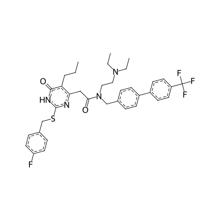 CCCc1c(CC(=O)N(CCN(CC)CC)Cc2ccc(-c3ccc(C(F)(F)F)cc3)cc2)nc(SCc2ccc(F)cc2)[nH]c1=O